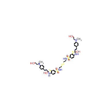 CN(CCO)c1ccc(/C=C/C2(O)Nc3ccc(S(=O)(=O)NCCSSCCNS(=O)(=O)c4ccc5c(c4)SC(O)(/C=C/c4ccc(N(C)CCO)cc4)N5)cc3S2)cc1